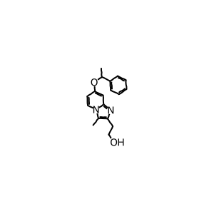 Cc1c(CCO)nc2cc(OC(C)c3ccccc3)ccn12